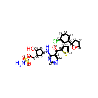 NS(=O)(=O)OC[C@H]1C[C@@H](Nc2ncncc2C(=O)c2cc([C@]3(c4cccc(Cl)c4)CCCO3)cs2)C[C@@H]1O